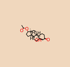 CC(=O)OC1CC[C@H]2[C@@H]3CCC4=CC(=O)CC[C@]4(CO)[C@H]3CC[C@]12C